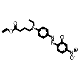 C=COC(=O)CCCN(CC)c1ccc(/N=N/c2ccc([N+](=O)[O-])cc2Cl)cc1